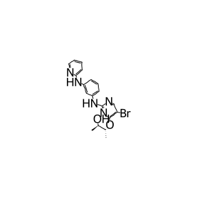 C[C@@H](O)[C@@H](C)Oc1nc(Nc2cccc(Nc3ccccn3)c2)ncc1Br